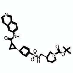 CC(C)(C)OC(=O)N1CCC[C@@H](CNS(=O)(=O)c2ccc([C@@H]3C[C@H]3C(=O)Nc3ccc4cnccc4c3)cc2)C1